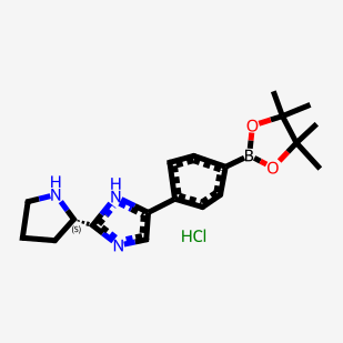 CC1(C)OB(c2ccc(-c3cnc([C@@H]4CCCN4)[nH]3)cc2)OC1(C)C.Cl